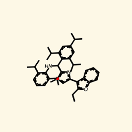 CCc1oc2ccccc2c1-c1cn(C)c(C(Nc2c(C(C)C)cccc2C(C)C)c2c(C(C)C)cc(C(C)C)cc2C(C)C)n1